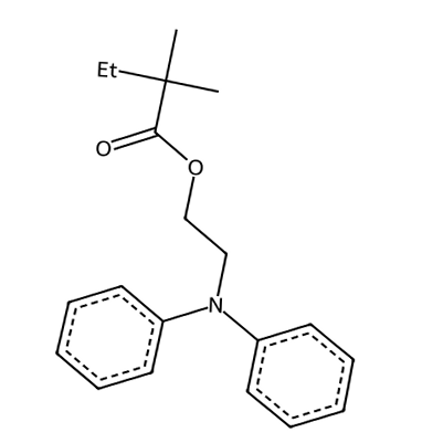 CCC(C)(C)C(=O)OCCN(c1ccccc1)c1ccccc1